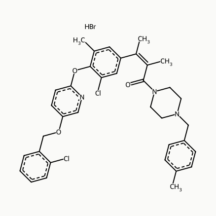 Br.C/C(C(=O)N1CCN(Cc2ccc(C)cc2)CC1)=C(\C)c1cc(C)c(Oc2ccc(OCc3ccccc3Cl)cn2)c(Cl)c1